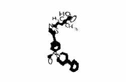 CC(C)(CCc1ncc(-c2ccc(N(C=O)N3CCC(c4ccccc4)CC3)cc2)s1)C(=O)O